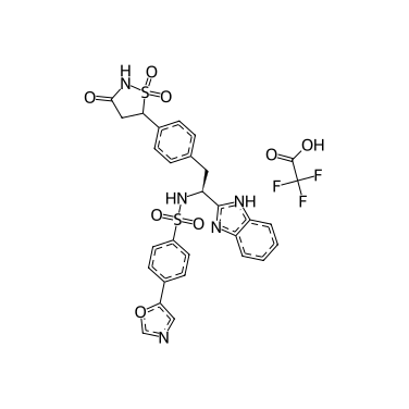 O=C(O)C(F)(F)F.O=C1CC(c2ccc(C[C@H](NS(=O)(=O)c3ccc(-c4cnco4)cc3)c3nc4ccccc4[nH]3)cc2)S(=O)(=O)N1